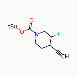 C#CC1CCN(C(=O)OC(C)(C)C)CC1F